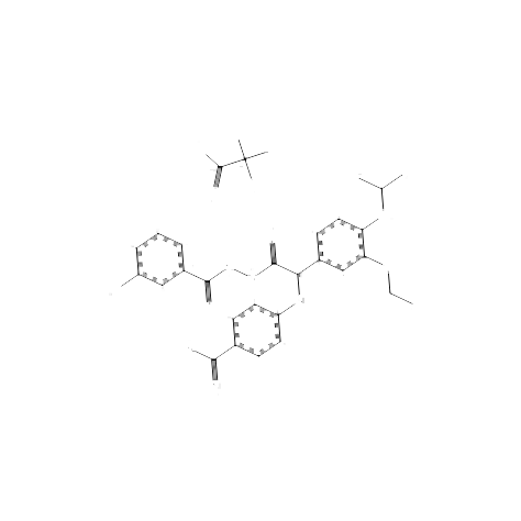 CCOc1cc(C(Nc2ccc(C(=N)N)cc2)C(=O)NNC(=O)c2cccc(F)c2)ccc1OC(C)C.O=C(O)C(F)(F)F